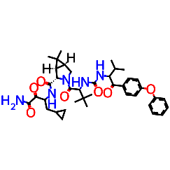 CC(C)[C@H](NC(=O)N[C@H](C(=O)N1C[C@H]2[C@@H]([C@H]1C(=O)NC(CC1CC1)C(=O)C(N)=O)C2(C)C)C(C)(C)C)C(=O)c1ccc(Oc2ccccc2)cc1